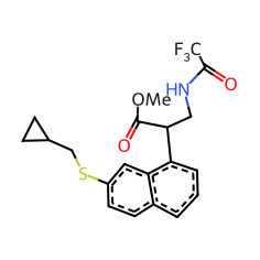 COC(=O)C(CNC(=O)C(F)(F)F)c1cccc2ccc(SCC3CC3)cc12